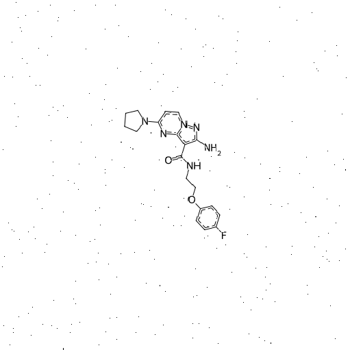 Nc1nn2ccc(N3CCCC3)nc2c1C(=O)NCCOc1ccc(F)cc1